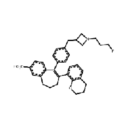 O=C(O)c1ccc2c(c1)CCCC(c1cccc3c1OCCC3)=C2c1ccc(CC2CN(CCCF)C2)cc1